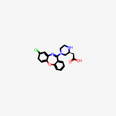 O=C(O)C[C@H]1CN(C2=NC3=CC(Cl)CC=C3Oc3ccccc32)CCN1